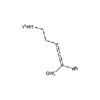 CCCCCCCC=C=C(C=O)CCC